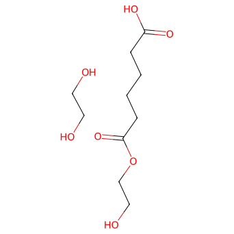 O=C(O)CCCCC(=O)OCCO.OCCO